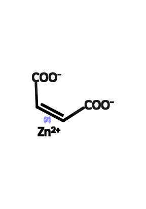 O=C([O-])/C=C\C(=O)[O-].[Zn+2]